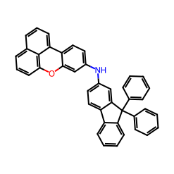 c1ccc(C2(c3ccccc3)c3ccccc3-c3ccc(Nc4ccc5c(c4)Oc4cccc6cccc-5c46)cc32)cc1